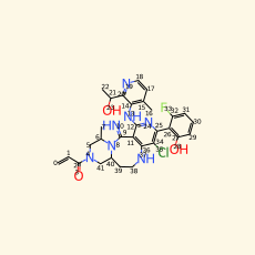 C=CC(=O)N1CC(C)N2C(=N)c3c(Nc4c(C)ccnc4C(C)O)nc(-c4c(O)cccc4F)c(Cl)c3NCCC2C1